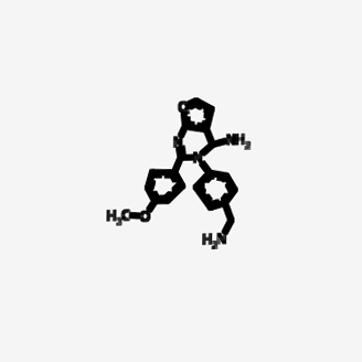 COc1ccc(C2=Nc3occc3C(N)N2c2ccc(CN)cc2)cc1